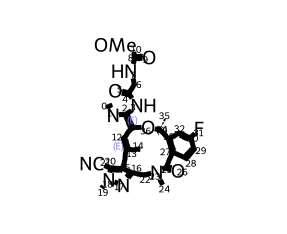 C=N/C(NC(=O)CNC(=O)OC)=C1\C=C(/C)c2c(nn(C)c2C#N)CN(C)C(=O)c2ccc(F)cc2[C@@H](C)O1